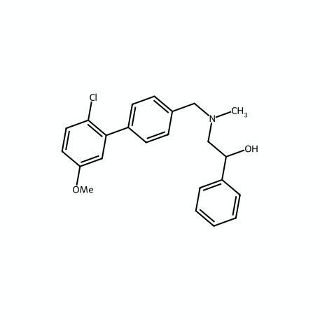 COc1ccc(Cl)c(-c2ccc(CN(C)CC(O)c3ccccc3)cc2)c1